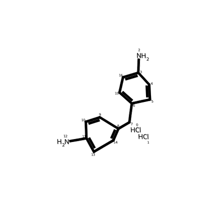 Cl.Cl.Nc1ccc(Cc2ccc(N)cc2)cc1